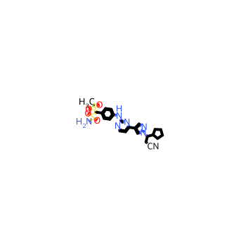 CS(=O)(=O)C(c1ccc(Nc2nccc(-c3cnn(C(CC#N)C4CCCC4)c3)n2)cc1)S(N)(=O)=O